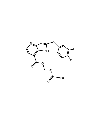 CC(C)(C)C(=O)OCOC(=O)c1ccnc2cc(Cc3ccc(Cl)c(F)c3)[nH]c12